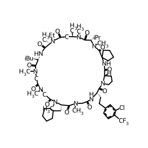 CC[C@H](C)[C@@H]1NC(=O)[C@H](C)N(CC)C(=O)C[C@@H](C)N(C)C(=O)[C@H](C(C)C)N(C)C(=O)C2(CCCC2)NC(=O)[C@@H]2CCCN2C(=O)[C@H](CCc2ccc(C(F)(F)F)c(Cl)c2)NC(=O)CN(C)C(=O)[C@H](CC2CCCCC2)N(C)C(=O)CN(C)C(=O)CN(C)C1=O